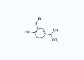 CCOc1cc(C(O)C(Cl)(Cl)Cl)ccc1O